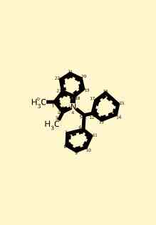 Cc1c(C)n(C(c2ccccc2)c2ccccc2)c2ccccc12